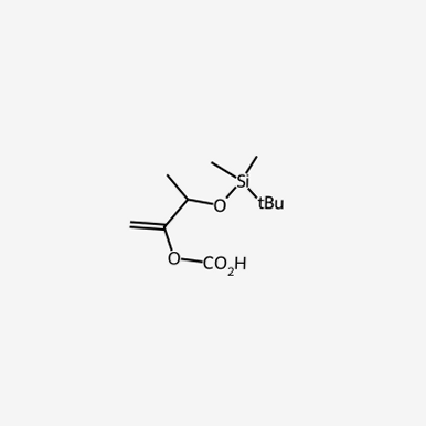 C=C(OC(=O)O)C(C)O[Si](C)(C)C(C)(C)C